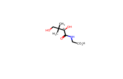 CC(C)(CO)[C@@H](O)C(=O)NCC(=O)O